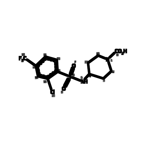 O=C(O)N1CCC(NS(=O)(=O)c2ccc(C(F)(F)F)cc2Cl)CC1